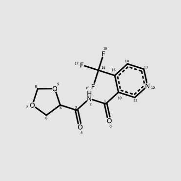 O=C(NC(=O)C1COCO1)c1cnccc1C(F)(F)F